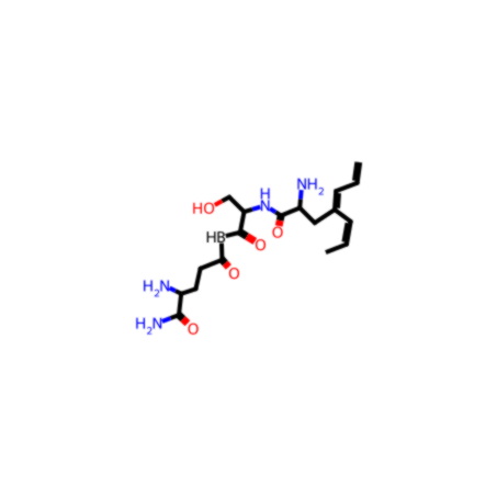 C=C/C=C(\C=C/C)CC(N)C(=O)NC(CO)C(=O)BC(=O)CCC(N)C(N)=O